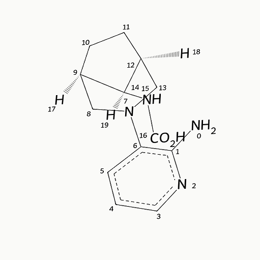 Nc1ncccc1N1C[C@H]2CC[C@@H](C1)[C@H]2NC(=O)O